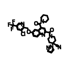 N#CC1(n2cccn2)CCN(C(=O)c2cc(C(=O)N3CCCCC3)c3cc(OCc4ncc(C(F)(F)F)cc4Cl)ccc3n2)CC1